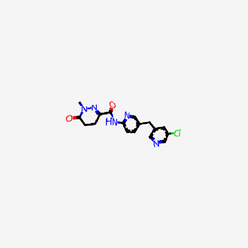 CN1N=C(C(=O)Nc2ccc(Cc3cncc(Cl)c3)cn2)CCC1=O